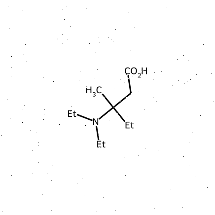 CCN(CC)C(C)(CC)CC(=O)O